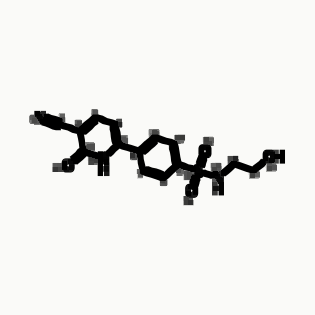 N#Cc1ccc(-c2ccc(S(=O)(=O)NCCO)cc2)[nH]c1=O